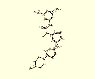 COc1cc(NC(=O)N(C)c2cc(Nc3ccc(N4CCN(C(C)C)CC4)cc3)ncn2)cc(OC)c1